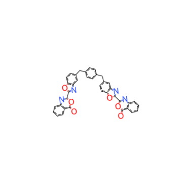 O=c1oc(-c2nc3cc(Cc4ccc(Cc5ccc6oc(-c7nc8ccccc8c(=O)o7)nc6c5)cc4)ccc3o2)nc2ccccc12